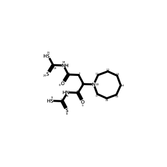 O=C(CC(C(=O)NC(=S)S)N1CCCCCCC1)NC(=S)S